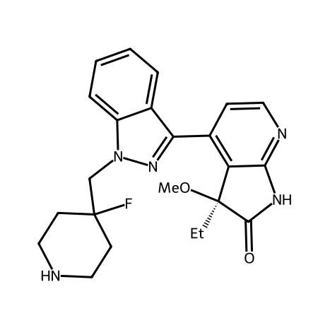 CC[C@@]1(OC)C(=O)Nc2nccc(-c3nn(CC4(F)CCNCC4)c4ccccc34)c21